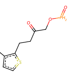 Cc1ccsc1CCC(=O)CO[PH2]=O